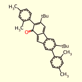 Cc1ccc(C2=C(C(C)(C)C)C=C3C(=Cc4cc(-c5ccc(C)cc5C)c(C(C)(C)C)cc43)C2=O)c(C)c1